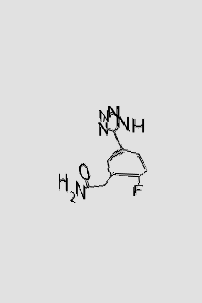 NC(=O)Cc1cc(-c2nnn[nH]2)ccc1F